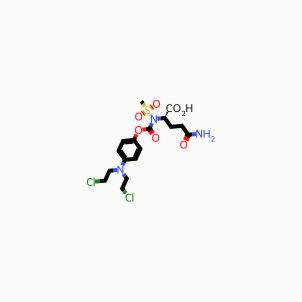 CS(=O)(=O)N(C(=O)Oc1ccc(N(CCCl)CCCl)cc1)[C@@H](CCC(N)=O)C(=O)O